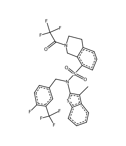 Cc1c(N(Cc2ccc(F)c(C(F)(F)F)c2)S(=O)(=O)c2cccc3c2CN(C(=O)C(F)(F)F)CC3)sc2ccccc12